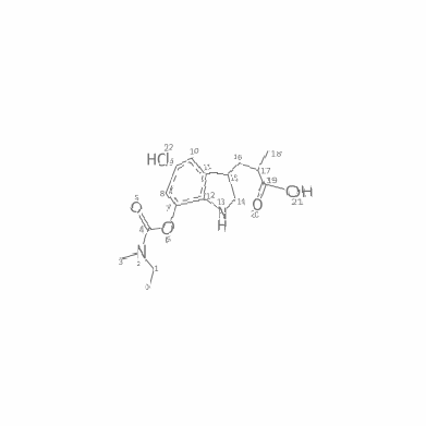 CCN(C)C(=O)Oc1cccc2c1NCC2CC(C)C(=O)O.Cl